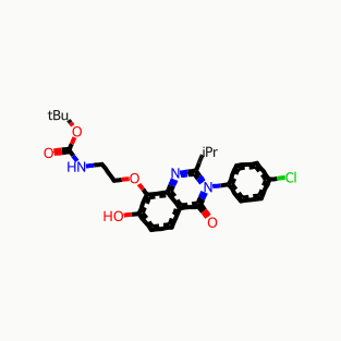 CC(C)c1nc2c(OCCNC(=O)OC(C)(C)C)c(O)ccc2c(=O)n1-c1ccc(Cl)cc1